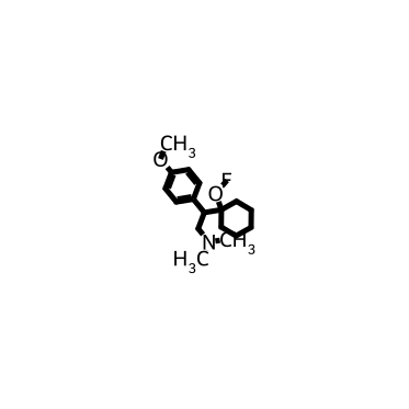 COc1ccc(C(CN(C)C)C2(OF)CCCCC2)cc1